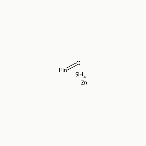 [O]=[InH].[SiH4].[Zn]